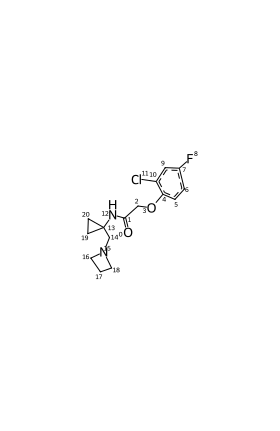 O=C(COc1ccc(F)cc1Cl)NC1(CN2CCC2)CC1